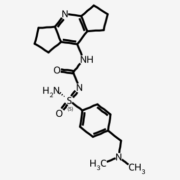 CN(C)Cc1ccc([S@@](N)(=O)=NC(=O)Nc2c3c(nc4c2CCC4)CCC3)cc1